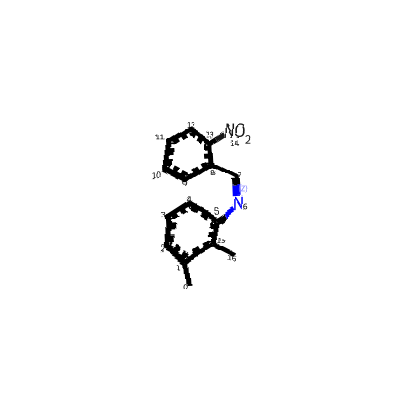 Cc1cccc(/N=C\c2ccccc2[N+](=O)[O-])c1C